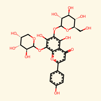 O=c1cc(-c2ccc(O)cc2)oc2c(OC3OC[C@@H](O)[C@@H](O)[C@@H]3O)c(O)c(OC3O[C@H](CO)[C@@H](O)[C@H](O)[C@H]3O)c(O)c12